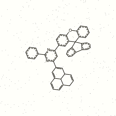 C1=CC2=CC(c3cc(-c4ccc5c(c4)C4(c6ccccc6O5)c5ccccc5-c5ccccc54)nc(-c4ccccc4)n3)=CC3C=CCC(=C1)C23